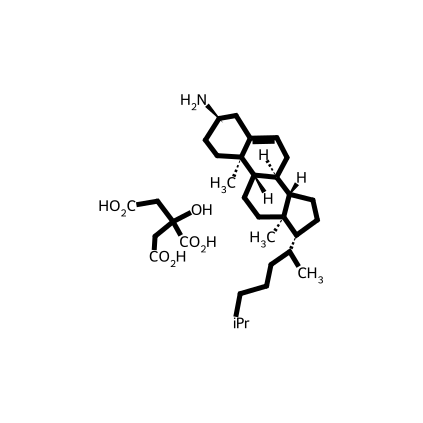 CC(C)CCCC(C)[C@H]1CC[C@H]2[C@@H]3CC=C4C[C@H](N)CC[C@]4(C)[C@H]3CC[C@]12C.O=C(O)CC(O)(CC(=O)O)C(=O)O